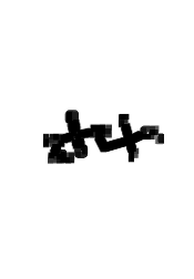 CCCCNS(=O)(=O)NCC(F)(F)C(F)(F)F